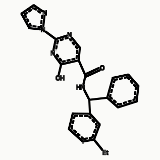 CCc1[c]ccc(C(NC(=O)c2cnc(-n3cccn3)nc2O)c2ccccc2)c1